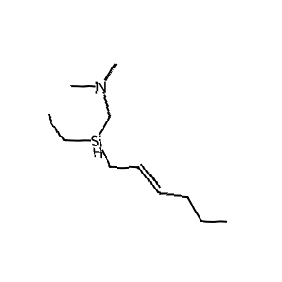 CCCC=CC[SiH](CC)CN(C)C